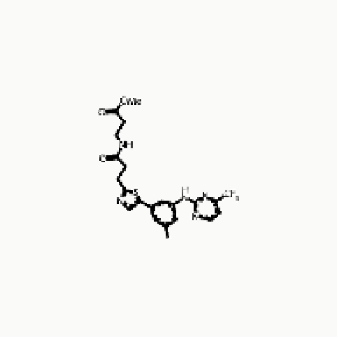 COC(=O)CCNC(=O)CCc1ncc(-c2cc(C)cc(Nc3nccc(C(F)(F)F)n3)c2)s1